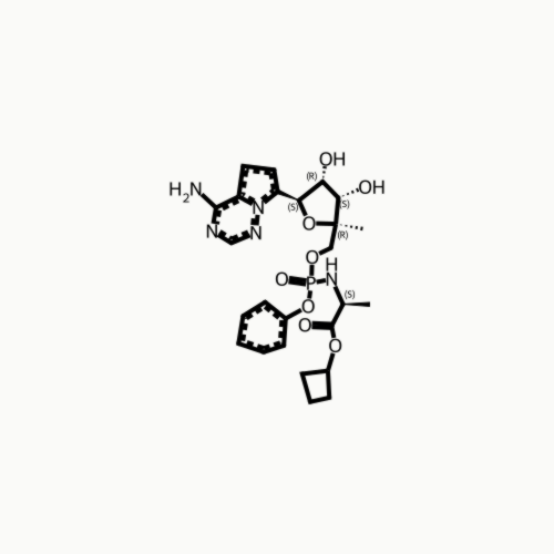 C[C@H](NP(=O)(OC[C@@]1(C)O[C@@H](c2ccc3c(N)ncnn23)[C@H](O)[C@@H]1O)Oc1ccccc1)C(=O)OC1CCC1